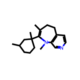 CC1=C(C2(C)CCCC(C)C2)N(C)c2cnccc2CC1